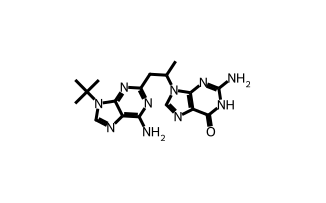 CC(Cc1nc(N)c2ncn(C(C)(C)C)c2n1)n1cnc2c(=O)[nH]c(N)nc21